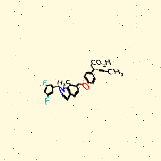 CC#C[C@@H](CC(=O)O)c1ccc(OCc2ccc3ccn(Cc4cc(F)cc(F)c4)c3c2C)cc1